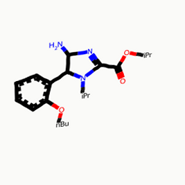 CCCCOc1ccccc1C1C(N)N=C(C(=O)OC(C)C)N1C(C)C